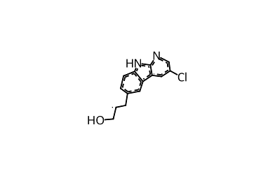 OC[CH]Cc1ccc2[nH]c3ncc(Cl)cc3c2c1